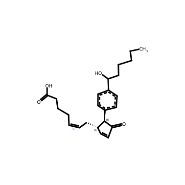 CCCCCC(O)c1ccc([C@H]2C(=O)C=C[C@@H]2C/C=C\CCCC(=O)O)cc1